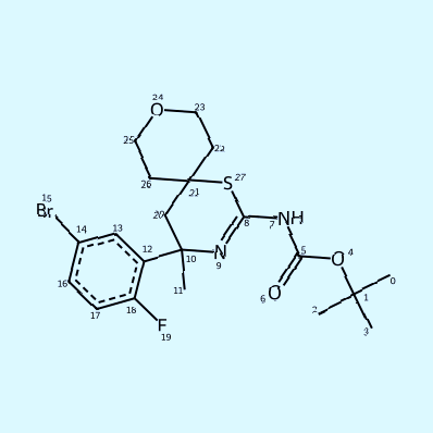 CC(C)(C)OC(=O)NC1=NC(C)(c2cc(Br)ccc2F)CC2(CCOCC2)S1